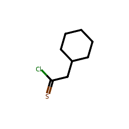 S=C(Cl)CC1CCCCC1